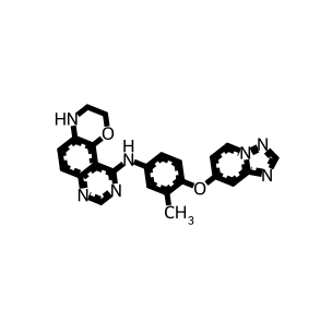 Cc1cc(Nc2ncnc3ccc4c(c23)OCCN4)ccc1Oc1ccn2ncnc2c1